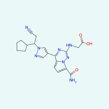 N#CCC(C1CCCC1)n1cc(-c2nc(NCC(=O)O)nn3c(C(N)=O)ccc23)cn1